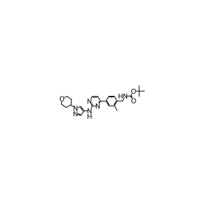 Cc1cc(-c2ccnc(Nc3cnn(C4CCOCC4)c3)n2)ccc1CNC(=O)OC(C)(C)C